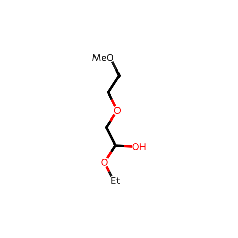 CCOC(O)COCCOC